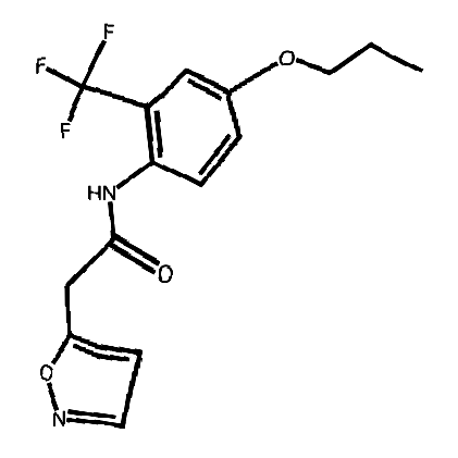 CCCOc1ccc(NC(=O)Cc2ccno2)c(C(F)(F)F)c1